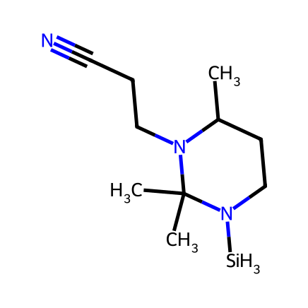 CC1CCN([SiH3])C(C)(C)N1CCC#N